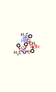 COc1cc(CC(=O)N2C(COc3cccc(C(=O)O)c3)CCC2C(C)OCc2ccccc2)ccc1NC(=O)Nc1ccccc1C